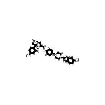 Clc1ccc(C2(CBr)OCC(COc3ccc(N4CCN(c5nc6ccc(Cl)cc6s5)CC4)cc3)O2)c(Cl)c1